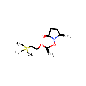 C=C(OCCS(C)(C)C)ON1C(=C)CCC1=O